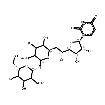 CC(=O)NC1C(O)C(O)[C@H](CO)O[C@@H]1O[C@@H]1O[C@H](C[C@@H](O)[C@@H]2O[C@@H](n3ccc(=O)[nH]c3=O)[C@H](O)[C@@H]2O)C(O)C(O)C1NC(C)=O